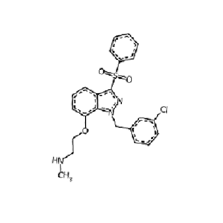 CNCCOc1cccc2c(S(=O)(=O)c3ccccc3)nn(Cc3cccc(Cl)c3)c12